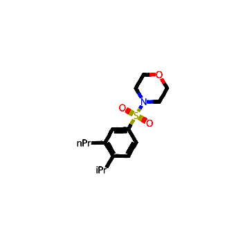 CCCc1cc(S(=O)(=O)N2CCOCC2)ccc1C(C)C